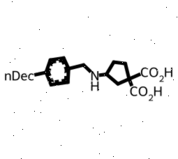 CCCCCCCCCCc1ccc(CNC2CCC(C(=O)O)(C(=O)O)C2)cc1